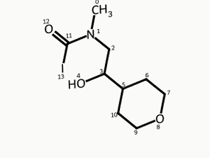 CN(CC(O)C1CCOCC1)C(=O)I